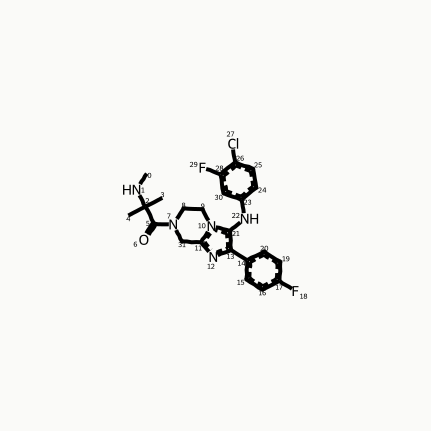 CNC(C)(C)C(=O)N1CCn2c(nc(-c3ccc(F)cc3)c2Nc2ccc(Cl)c(F)c2)C1